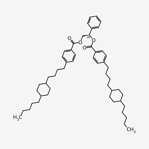 CCCCCC1CCC(CCCCc2ccc(C(=O)OC[C@H](OC(=O)c3ccc(CCCCC4CCC(CCCCC)CC4)cc3)c3ccccc3)cc2)CC1